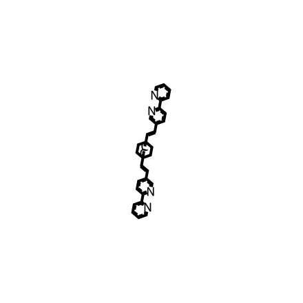 C(=CC12CCC(C=Cc3ccc(-c4ccccn4)nc3)(CC1)CC2)c1ccc(-c2ccccn2)nc1